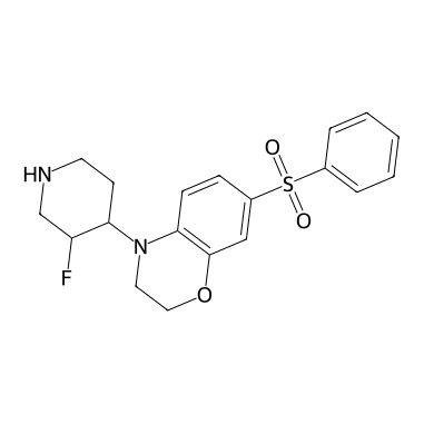 O=S(=O)(c1ccccc1)c1ccc2c(c1)OCCN2C1CCNCC1F